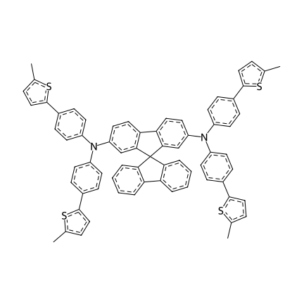 Cc1ccc(-c2ccc(N(c3ccc(-c4ccc(C)s4)cc3)c3ccc4c(c3)C3(c5ccccc5-c5ccccc53)c3cc(N(c5ccc(-c6ccc(C)s6)cc5)c5ccc(-c6ccc(C)s6)cc5)ccc3-4)cc2)s1